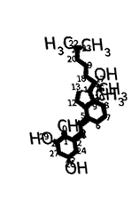 C=C1/C(=C\C=C2/CCC[C@@]3(C)C2CC[C@@H]3[C@@](C)(O)CCCC(C)C)C[C@@H](O)CC1O